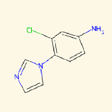 Nc1ccc(-n2ccnc2)c(Cl)c1